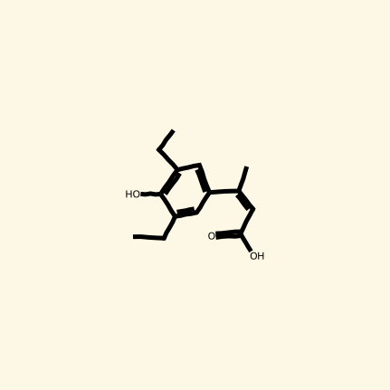 CCc1cc(/C(C)=C\C(=O)O)cc(CC)c1O